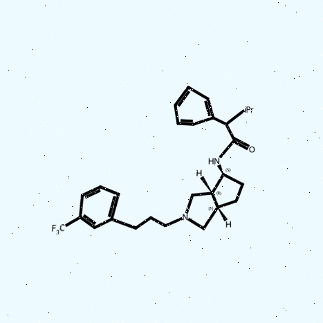 CC(C)C(C(=O)N[C@H]1CC[C@@H]2CN(CCCc3cccc(C(F)(F)F)c3)C[C@@H]21)c1ccccc1